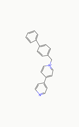 c1ccc(-c2ccc(C[n+]3ccc(-c4ccncc4)cc3)cc2)cc1